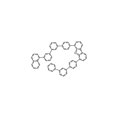 c1ccc(-c2cccc(-c3ccc(-c4cccc5c4oc4c(-c6ccc(-c7cccc(-c8cccc(-c9cccc%10ccccc9%10)c8)c7)cc6)cccc45)cc3)c2)cc1